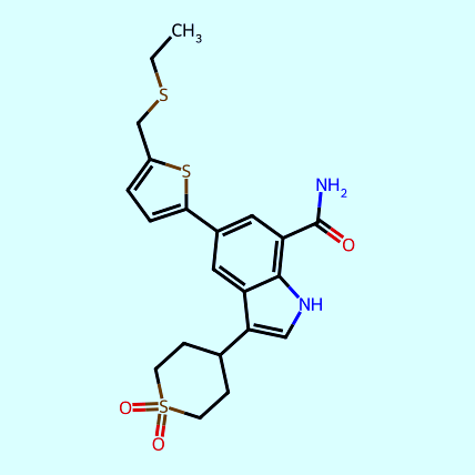 CCSCc1ccc(-c2cc(C(N)=O)c3[nH]cc(C4CCS(=O)(=O)CC4)c3c2)s1